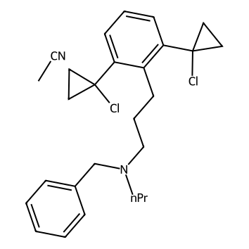 CC#N.CCCN(CCCc1c(C2(Cl)CC2)cccc1C1(Cl)CC1)Cc1ccccc1